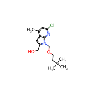 Cc1cc(Cl)nc2c1cc(CO)n2COCC[Si](C)(C)C